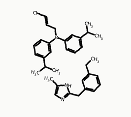 CC(C)c1cccc(B(CC=CCl)c2cccc(C(C)C)c2)c1.CCc1cccc(Cc2ncc(C)[nH]2)c1